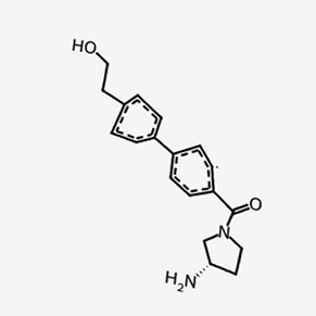 N[C@H]1CCN(C(=O)c2[c]cc(-c3ccc(CCO)cc3)cc2)C1